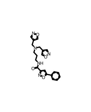 O=C(NCCCN(Cc1cnoc1)Cc1cnoc1)c1cc(-c2ccccc2)on1